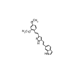 COc1ccc(/C=C/c2cc(/C=C/c3ccc4cc[nH]c4c3)[nH]n2)c(OC)c1